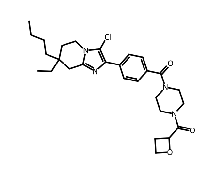 CCCCC1(CC)CCn2c(nc(-c3ccc(C(=O)N4CCN(C(=O)C5CCO5)CC4)cc3)c2Cl)C1